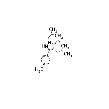 Cc1ccc(-c2[nH]n(CC(C)C)c(=O)c2CC(C)C)cc1